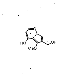 COc1c(CO)cn2ncnc(O)c12